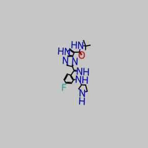 CC(C)(C)NC(=O)c1c[nH]c2ncc(C(=N)c3ccc(F)cc3NC3CCNC3)nc12